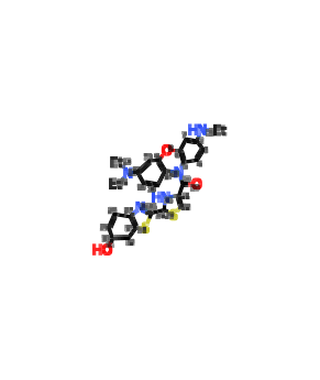 CCNc1ccc2c(c1)Oc1cc(N(CC)CC)ccc1N2C(=O)C1=CSC(c2nc3ccc(O)cc3s2)N1